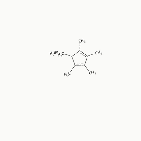 C[C]1C(C)=C(C)C(C)=C1C.[BaH2]